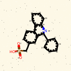 O=S(=O)(O)Cc1ccc2c(c1)c(-c1ccccc1)nc1ccccc12